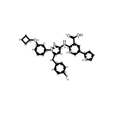 O=C(O)c1cc(-c2cccs2)cnc1Nc1cc(Cc2ccc(F)cc2)n(-c2cccc(OC3CCC3)c2)n1